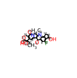 CCn1c2c(c(=O)c3cc(F)c4c(c31)CC[C@@H]4O)-c1cc3c(c(=O)n1C2)COC(=O)[C@]3(O)CC